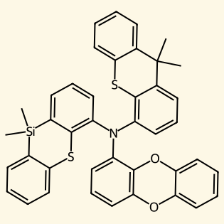 CC1(C)c2ccccc2Sc2c(N(c3cccc4c3Oc3ccccc3O4)c3cccc4c3Sc3ccccc3[Si]4(C)C)cccc21